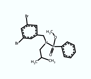 COP(=O)(c1ccccc1)N(Cc1cc(Br)cc(Br)c1)CC(C)C